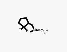 CN(CC1CCCC1(F)F)S(=O)(=O)O